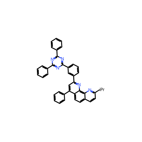 CC(C)c1ccc2ccc3c(-c4ccccc4)cc(-c4cccc(-c5nc(-c6ccccc6)nc(-c6ccccc6)n5)c4)nc3c2n1